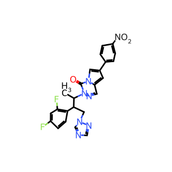 CC(C(Cn1cncn1)c1ccc(F)cc1F)n1ncc2cc(-c3ccc([N+](=O)[O-])cc3)cn2c1=O